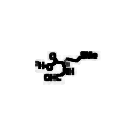 [2H]OC(=O)[C@H](CCSC)NC=O